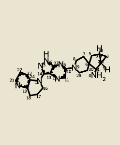 N[C@@H]1[C@H]2C[C@H]2CC12CCN(c1cnc3c(N4CCCc5ncccc54)n[nH]c3n1)CC2